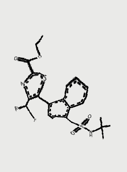 CCOC(=O)c1nc(C(F)F)c(-c2ccc(S(=O)(=O)NC(C)(C)C)c3ccccc23)s1